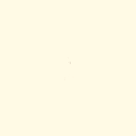 [BaH2].[Nb].[Nd].[Ti].[Zn].[Zn]